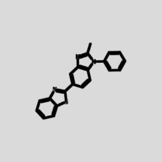 Cc1nc2cc(-c3nc4ccccc4s3)ccc2n1-c1ccccc1